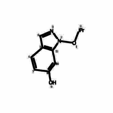 CC(C)On1ncc2ccc(O)cc21